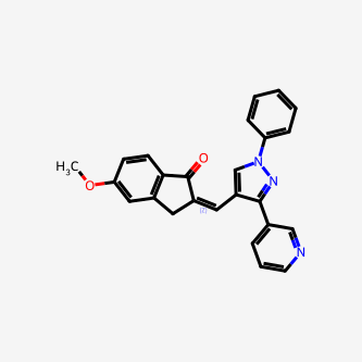 COc1ccc2c(c1)C/C(=C/c1cn(-c3ccccc3)nc1-c1cccnc1)C2=O